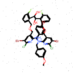 COc1ccc(CN(Cc2ccc(OC)cc2)c2nc(Cl)c(Br)cc2COCc2cccc(F)c2C(O)C(O)c2c(F)cccc2COCc2cc(Br)c(Cl)nc2N)cc1